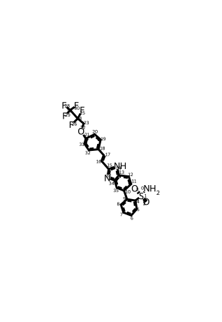 NS(=O)(=O)c1ccccc1-c1ccc2[nH]c(C=Cc3ccc(OCC(F)(F)C(F)(F)F)cc3)nc2c1